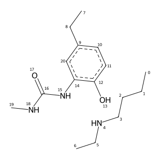 CCCCNCC.CCc1ccc(O)c(NC(=O)NC)c1